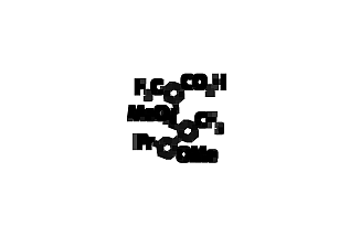 COc1ccc(C(C)C)cc1-c1ccc(C(F)(F)F)cc1CN(Cc1cc(C(=O)O)cc(C(F)(F)F)c1)OC